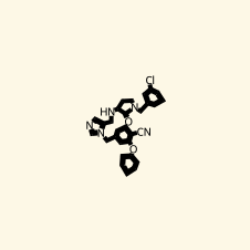 N#Cc1ccc(Cn2cncc2CNC2CCN(Cc3cccc(Cl)c3)C2=O)cc1Oc1ccccc1